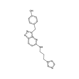 Oc1ccc(Cc2nnc3ccc(NCCCn4ccnc4)nn23)cc1